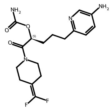 NC(=O)O[C@@H](CCCc1ccc(N)cn1)C(=O)N1CCC(=C(F)F)CC1